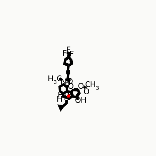 CC(=O)Oc1cc(O)c2c3c1O[C@H]1[C@H](N(C)C(=O)C#Cc4ccc(C(F)(F)F)cc4)CC[C@H]4[C@@H](C2)N(CC2CC2)CC[C@@]341